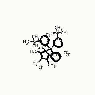 CC1=C(C)[C]([Ti+3])([Si](c2ccccc2)(c2cccc([Si](C)(C)C)c2)c2cccc([Si](C)(C)C)c2)C(C)=C1C.[Cl-].[Cl-].[Cl-]